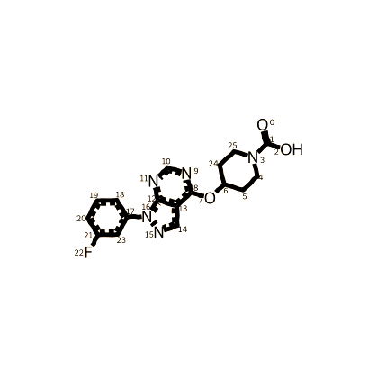 O=C(O)N1CCC(Oc2ncnc3c2cnn3-c2cccc(F)c2)CC1